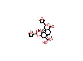 CC12CCC3C(=O)OC(c4ccoc4)CC3(C)C1C(=O)C(OC(=O)c1ccco1)CC2C(=O)O